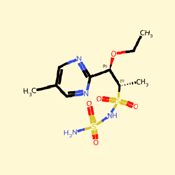 CCO[C@H](c1ncc(C)cn1)[C@H](C)S(=O)(=O)NS(N)(=O)=O